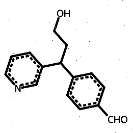 O=Cc1ccc(C(CCO)c2cccnc2)cc1